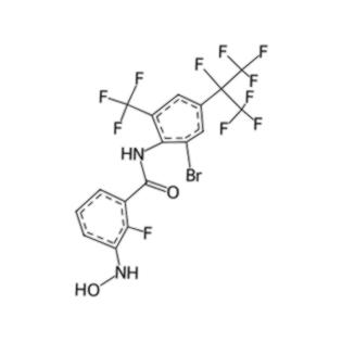 O=C(Nc1c(Br)cc(C(F)(C(F)(F)F)C(F)(F)F)cc1C(F)(F)F)c1cccc(NO)c1F